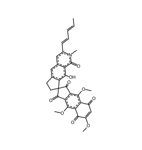 C/C=C/C=C/c1cc2cc3c(c(O)c2c(=O)n1C)C1(CC3)C(=O)c2c(OC)c3c(c(OC)c2C1=O)C(=O)C(OC)=CC3=O